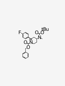 CN(C(=O)OC(C)(C)C)C1CCN(C(=O)OCc2ccccc2)[C@@H](c2ccc(F)cc2)C1